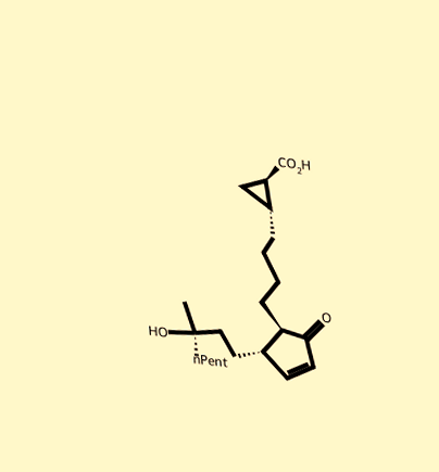 CCCCC[C@@](C)(O)CC[C@H]1C=CC(=O)[C@@H]1CCCC[C@@H]1C[C@H]1C(=O)O